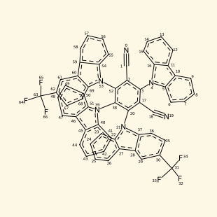 N#Cc1c(-n2c3ccccc3c3ccccc32)c(C#N)c(-n2c3ccccc3c3cc(C(F)(F)F)ccc32)c(-n2c3ccccc3c3ccccc32)c1-n1c2ccccc2c2cc(C(F)(F)F)ccc21